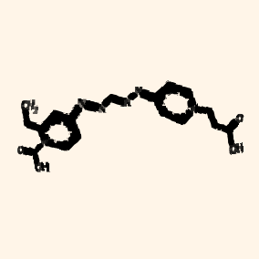 CCc1cc(N=NC=NN=c2ccn(CCC(=O)O)cc2)cc[n+]1C(=O)O